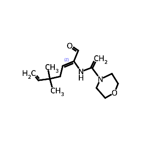 C=CC(C)(C)C/C=C(/C=O)NC(=C)N1CCOCC1